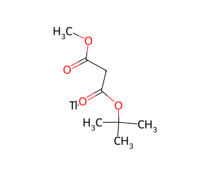 COC(=O)CC(=O)OC(C)(C)C.[Tl]